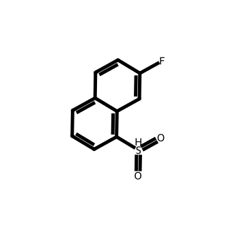 O=[SH](=O)c1cccc2ccc(F)cc12